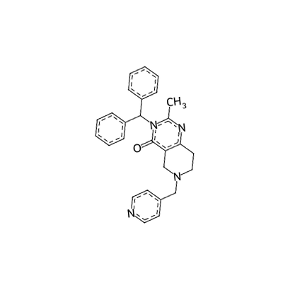 Cc1nc2c(c(=O)n1C(c1ccccc1)c1ccccc1)CN(Cc1ccncc1)CC2